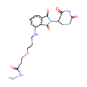 CNC(=O)CCOCCCNc1cccc2c1C(=O)N(C1CCC(=O)NC1=O)C2=O